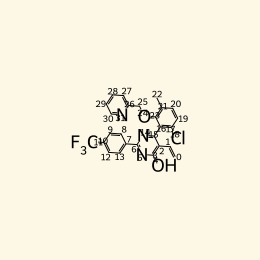 C=Cc1c(O)nc(-c2ccc(C(F)(F)F)cc2)nc1-c1c(Cl)ccc(C)c1OCc1ccccn1